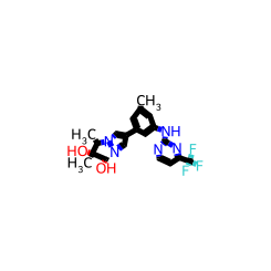 Cc1cc(Nc2nccc(C(F)(F)F)n2)cc(-c2cnn(C(C)C(C)(O)CO)c2)c1